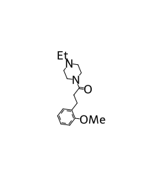 CCN1CCN(C(=O)CCc2ccccc2OC)CC1